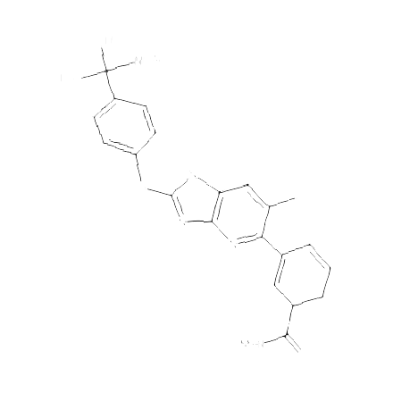 CNC(=O)C1C=C(c2nc3nc(Oc4ccc(C(C)(C)NC(C)=O)cc4)[nH]c3cc2Cl)C=CC1